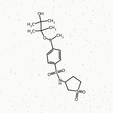 CB(OC(C)(C)C(C)(C)O)c1ccc(S(=O)(=O)NC2CCS(=O)(=O)C2)cc1